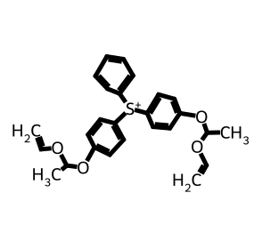 C=COC(C)Oc1ccc([S+](c2ccccc2)c2ccc(OC(C)OC=C)cc2)cc1